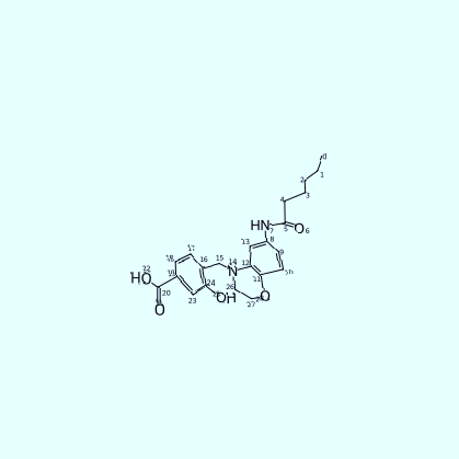 CCCCCC(=O)Nc1ccc2c(c1)N(Cc1ccc(C(=O)O)cc1O)CCO2